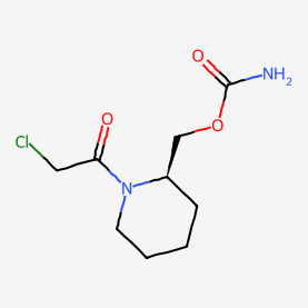 NC(=O)OC[C@H]1CCCCN1C(=O)CCl